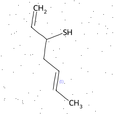 C=CC(S)C/C=C/C